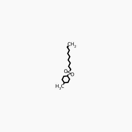 C=CCCCCCCCS(=O)(=O)C1CCC(C)CC1